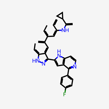 C=C/C(=C\C(=C/C)C(=C)/C=c1/c(-c2cc3c(-c4ccc(F)cc4)nccc3[nH]2)n[nH]/c1=C/C)NC(=C)C1CC1